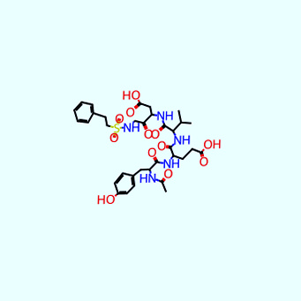 CC(=O)NC(Cc1ccc(O)cc1)C(=O)NC(CCC(=O)O)C(=O)NC(C(=O)NC(CC(=O)O)C(=O)CNS(=O)(=O)CCc1ccccc1)C(C)C